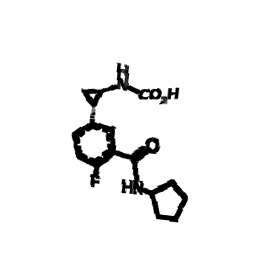 O=C(O)N[C@@H]1C[C@H]1c1ccc(F)c(C(=O)NC2CCCC2)c1